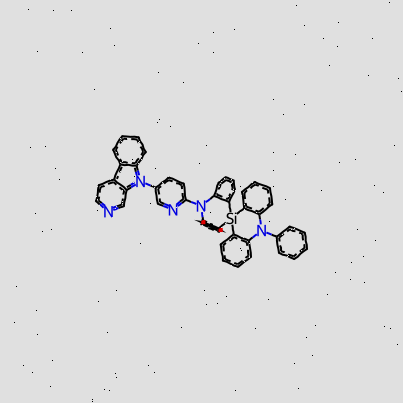 c1ccc(N2c3ccccc3[Si]3(c4ccccc42)c2ccccc2N(c2ccc(-n4c5ccccc5c5ccncc54)cn2)c2ccccc23)cc1